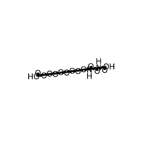 O=C(O)CCNC(=O)CCC(=O)NCCOCCOCCOCCOCCOCCOCCOCCOCCC(=O)O